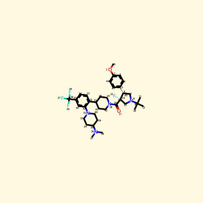 COc1ccc([C@@H]2CN(C(C)(C)C)C[C@@]2(F)C(=O)N2CCC(c3ccc(C(F)(F)F)cc3N3CCC(N(C)C)CC3)CC2)cc1